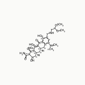 COC(CNCc1cc(N(C)C)c2c(c1O)C(=O)C1=C(O)[C@]3(O)C(=O)C(C(N)=O)C(O)C[C@@H]3C[C@@H]1C2)OC